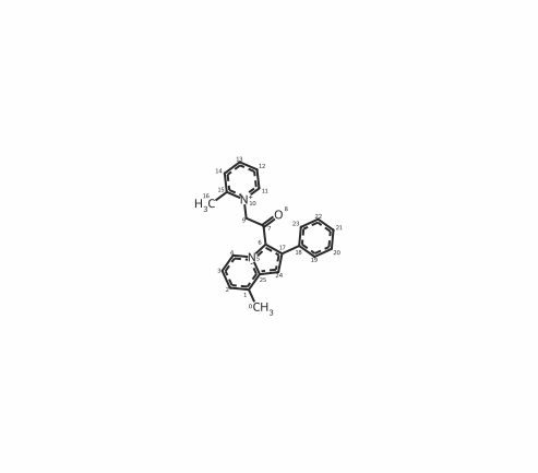 Cc1cccn2c(C(=O)C[n+]3ccccc3C)c(-c3ccccc3)cc12